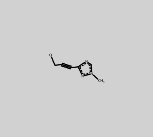 Cn1cnc(C#CC[O])n1